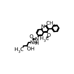 CCC(O)CNC(=O)Nc1ccc2nc(C)c(-c3ccccc3)c(OC)c2c1